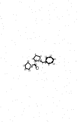 O=C([C@@H]1CCCN1Cc1ccccc1)N1CCCC1